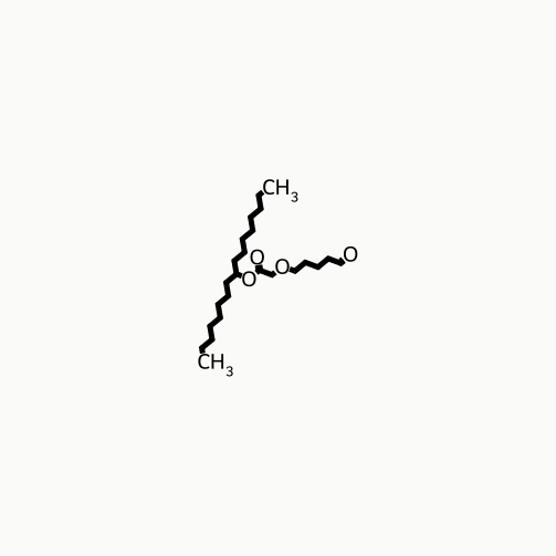 CCCCCCCCC(CCCCCCCC)OC(=O)COCCCCC=O